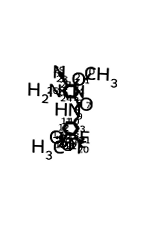 CCOc1nc(C(=O)NCc2ccc(S(C)(=O)=O)c(C(F)(F)F)c2)cc(N)c1C#N